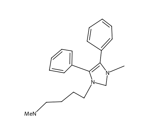 CNCCCCN1CN(C)C(c2ccccc2)=C1c1ccccc1